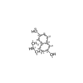 CNC.Oc1ccc2cc(O)ccc2c1